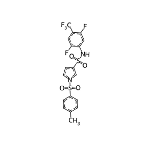 Cc1ccc(S(=O)(=O)n2ccc(S(=O)(=O)Nc3cc(F)c(C(F)(F)F)cc3F)c2)cc1